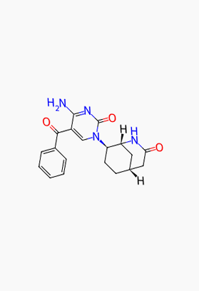 Nc1nc(=O)n([C@@H]2CC[C@H]3CC(=O)N[C@@H]2C3)cc1C(=O)c1ccccc1